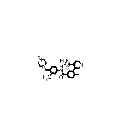 Cc1ccc(C(=O)Nc2ccc(CN3CCN(C)CC3)c(C(F)(F)F)c2)cc1-c1cnccc1C(N)=O